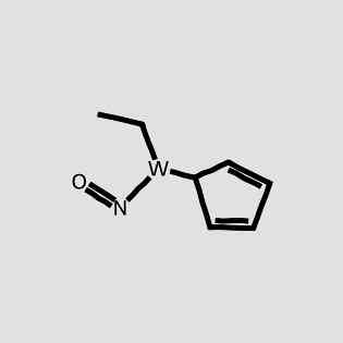 C[CH2][W]([N]=O)[CH]1C=CC=C1